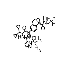 CC(C)n1nccc1C(=O)NC(C(=O)Nc1ccc2c(c1)CCO[C@H]2C(=O)NCC(F)(F)F)C(C1CC1)C1CC1